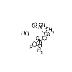 Cc1cc(F)ccc1C(=O)Nc1ccc2oc(C)c(CCN(C)Cc3ccco3)c2c1.Cl